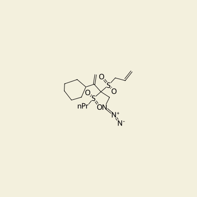 C=CCS(=O)(=O)C(CN=[N+]=[N-])(C(=C)C1CCCCC1)S(=O)(=O)CCC